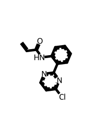 C=CC(=O)Nc1ccccc1-c1nccc(Cl)n1